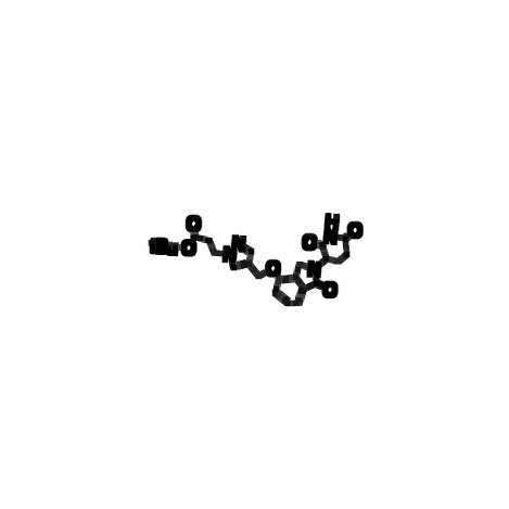 CC(C)(C)OC(=O)CCn1cc(COc2cccc3c2CN(C2CCC(=O)NC2=O)C3=O)cn1